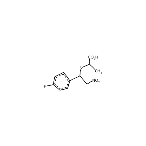 CC(SC(C[N+](=O)[O-])c1ccc(F)cc1)C(=O)O